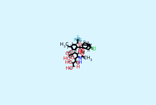 CCc1ccc(C2(OCC(F)(F)F)OOC23C2CC4CC3CC(Cl)(C4)C2)cc1OC1(C(=O)O)CC(O)C(NC(C)=O)C(C(O)C(O)CO)O1